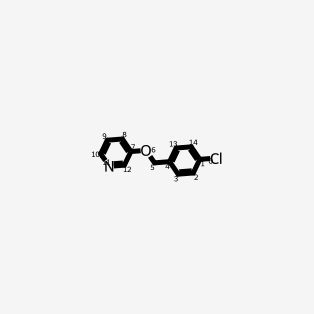 Clc1ccc(COc2cc[c]nc2)cc1